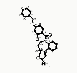 NC(=O)C=C1c2ccccc2N(C(=O)c2ccc(OCc3ccccc3)cc2C(F)(F)F)CCC1(F)F